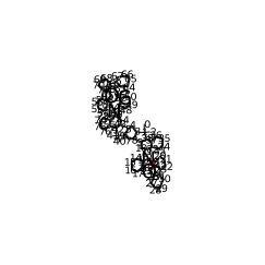 CC1(C)c2cc3c(cc2-c2cc(N(c4ccccc4)c4cccc5c4oc4ccccc45)c4ccccc4c21)C(C)(C)c1c-3cc(N(c2ccccc2)c2cccc3c2oc2c(-c4ccccc4)cccc23)c2ccccc12